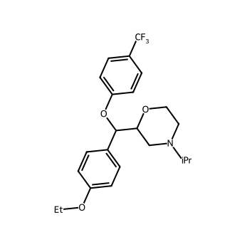 CCOc1ccc(C(Oc2ccc(C(F)(F)F)cc2)C2CN(C(C)C)CCO2)cc1